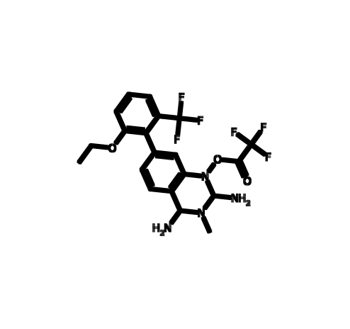 CCOc1cccc(C(F)(F)F)c1-c1ccc2c(c1)N(OC(=O)C(F)(F)F)C(N)N(C)C2N